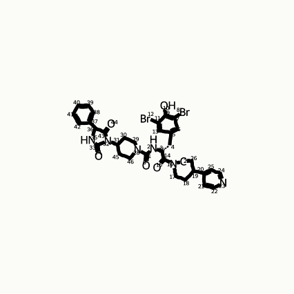 O=C(N[C@H](Cc1cc(Br)c(O)c(Br)c1)C(=O)N1CCC(c2ccncc2)CC1)N1CCC(N2C(=O)NC(c3ccccc3)C2=O)CC1